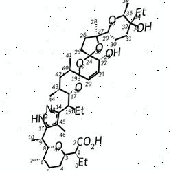 CC[C@@H](C(=O)O)[C@H]1CC[C@H](C)[C@H]([C@@H](C)c2[nH]nc([C@H](CC)[C@H]3O[C@]4(C=C[C@@H](O)[C@]5(CC[C@@](C)([C@H]6CC[C@](O)(CC)[C@H](C)O6)O5)O4)[C@H](C)C[C@@H]3C)c2C)O1